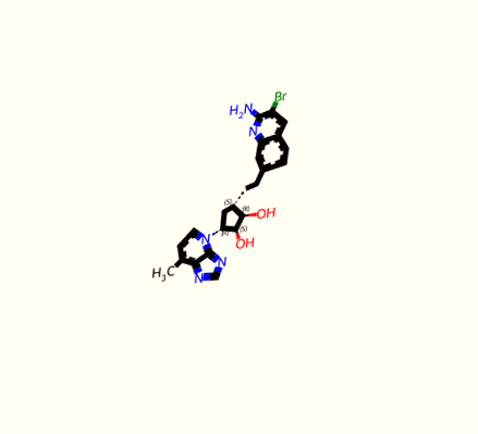 Cc1ccn([C@@H]2C[C@H](CCc3ccc4cc(Br)c(N)nc4c3)[C@@H](O)[C@H]2O)c2ncnc1-2